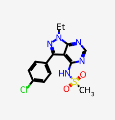 CCn1nc(-c2ccc(Cl)cc2)c2c(NS(C)(=O)=O)ncnc21